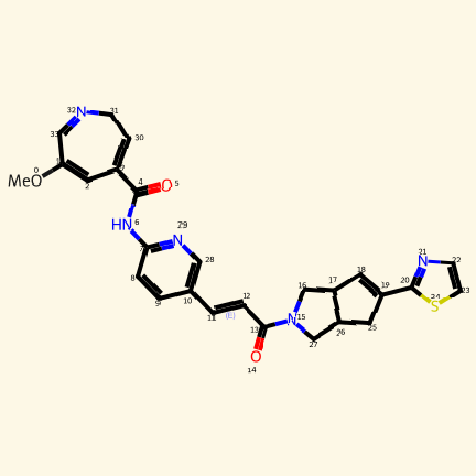 COC1=CC(C(=O)Nc2ccc(/C=C/C(=O)N3CC4C=C(c5nccs5)CC4C3)cn2)=CCN=C1